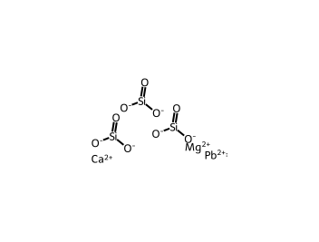 O=[Si]([O-])[O-].O=[Si]([O-])[O-].O=[Si]([O-])[O-].[Ca+2].[Mg+2].[Pb+2]